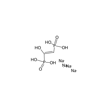 O=P(O)(O)C=C(O)P(=O)(O)O.[Na].[Na].[Na].[Na]